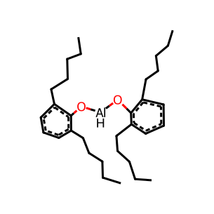 CCCCCc1cccc(CCCCC)c1[O][AlH][O]c1c(CCCCC)cccc1CCCCC